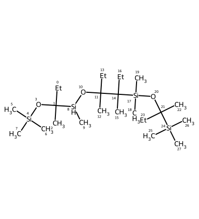 CCC(C)(O[Si](C)(C)C)[SiH](C)OC(C)(CC)C(C)(CC)[Si](C)(C)OC(C)(CC)[Si](C)(C)C